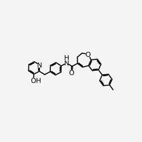 Cc1ccc(-c2ccc3c(c2)C=C(C(=O)Nc2ccc(Cc4ncccc4O)cc2)CCO3)cc1